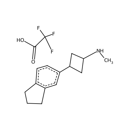 CNC1CC(c2ccc3c(c2)CCC3)C1.O=C(O)C(F)(F)F